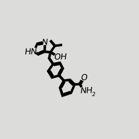 CC(C)C(O)(Cc1ccc(-c2cccc(C(N)=O)c2)cc1)c1c[nH]cn1